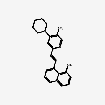 Cc1cnc(C=Cc2cccc3cccc(C)c23)cc1N1CCCCC1